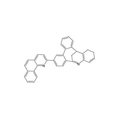 C1=CC2=C(CC1)C1CC(=N2)c2ccc(-c3ccc4ccc5ccccc5c4n3)cc2-c2ccccc21